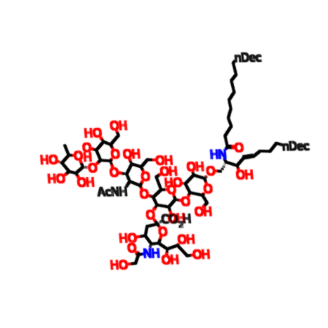 CCCCCCCCCCCCC/C=C/[C@@H](O)[C@H](CO[C@@H]1OC(CO)[C@@H](O[C@@H]2OC(CO)[C@H](O[C@@H]3OC(CO)[C@H](O)[C@H](O[C@@H]4OC(CO)[C@H](O)[C@H](O)C4O[C@H]4OC(C)[C@@H](O)C(O)[C@@H]4O)C3NC(C)=O)[C@H](O[C@]3(C(=O)O)CC(O)[C@@H](NC(=O)CO)C([C@H](O)[C@H](O)CO)O3)C2O)[C@H](O)C1O)NC(=O)CCCCCCCCCCCCCCCCCCC